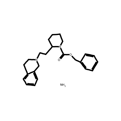 N.O=C(OCc1ccccc1)N1CCCCC1CCN1CCc2ccccc2C1